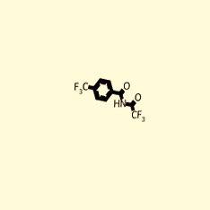 O=C(NC(=O)C(F)(F)F)c1ccc(C(F)(F)F)cc1